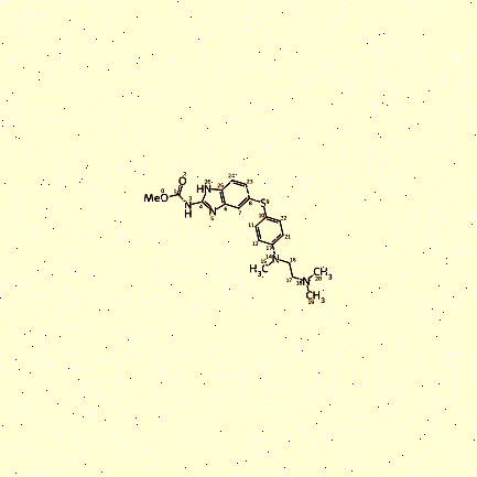 COC(=O)Nc1nc2cc(Sc3ccc(N(C)CCN(C)C)cc3)ccc2[nH]1